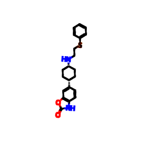 O=c1[nH]c2ccc([C@H]3CC[C@@H](NCCSc4ccccc4)CC3)cc2o1